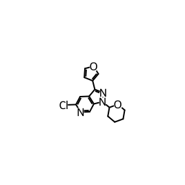 Clc1cc2c(-c3ccoc3)nn(C3CCCCO3)c2cn1